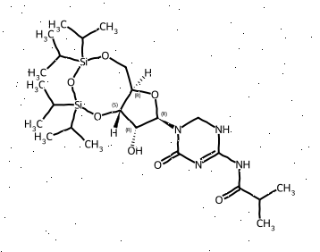 CC(C)C(=O)NC1=NC(=O)N([C@@H]2O[C@@H]3CO[Si](C(C)C)(C(C)C)O[Si](C(C)C)(C(C)C)O[C@H]3[C@H]2O)CN1